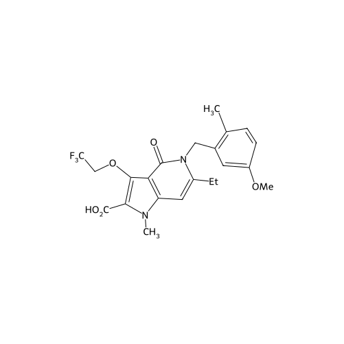 CCc1cc2c(c(OCC(F)(F)F)c(C(=O)O)n2C)c(=O)n1Cc1cc(OC)ccc1C